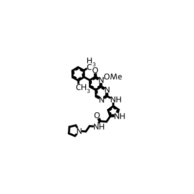 COn1c(=O)c(-c2c(C)cccc2C)cc2cnc(Nc3c[nH]c(CC(=O)NCCN4CCCC4)c3)nc21